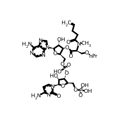 C=CCCC(=O)N(C)[C@@H](COCCC)C(=O)O[C@H]1[C@@H](O)[C@H](n2cnc3c(N)ncnc32)O[C@@H]1COP(=O)(O)O[C@H]1[C@@H](O)[C@H](n2ccc(N)nc2=O)O[C@@H]1COP(=O)(O)O